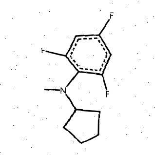 CN(c1c(F)cc(F)cc1F)C1CCCC1